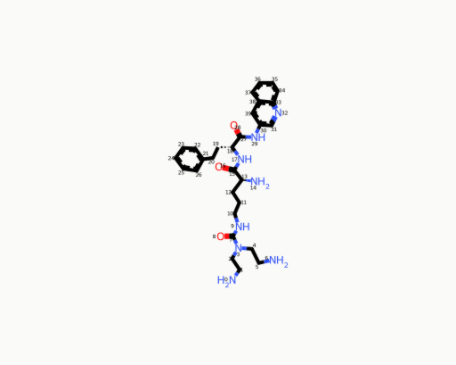 NCCN(CCN)C(=O)NCCC[C@H](N)C(=O)N[C@H](CCc1ccccc1)C(=O)Nc1cnc2ccccc2c1